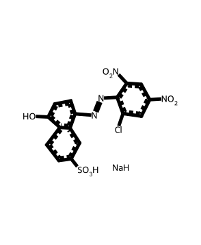 O=[N+]([O-])c1cc(Cl)c(N=Nc2ccc(O)c3ccc(S(=O)(=O)O)cc23)c([N+](=O)[O-])c1.[NaH]